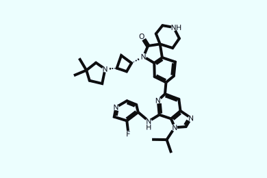 CC(C)n1cnc2cc(-c3ccc4c(c3)N([C@H]3C[C@@H](N5CCC(C)(C)C5)C3)C(=O)C43CCNCC3)nc(Nc3ccncc3F)c21